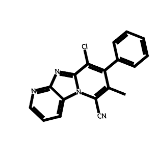 Cc1c(-c2ccccc2)c(Cl)c2nc3ncccc3n2c1C#N